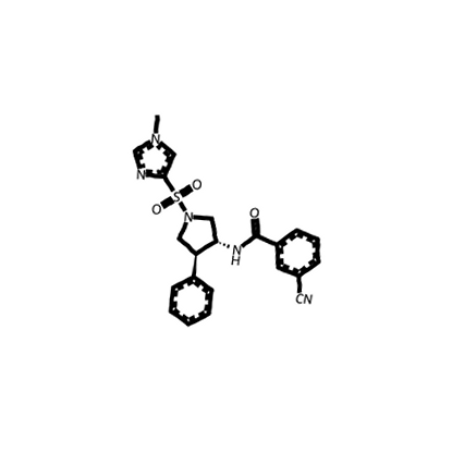 Cn1cnc(S(=O)(=O)N2C[C@H](NC(=O)c3cccc(C#N)c3)[C@@H](c3ccccc3)C2)c1